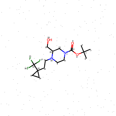 CC(C)(C)OC(=O)N1CCN(CCC2(C(F)(F)F)CC2)C(CO)C1